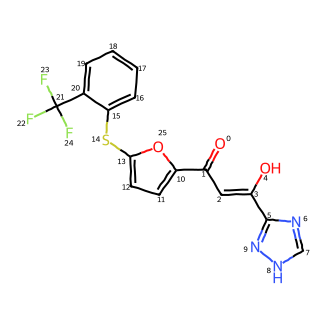 O=C(C=C(O)c1nc[nH]n1)c1ccc(Sc2ccccc2C(F)(F)F)o1